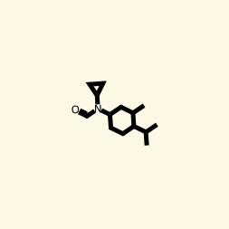 CC(C)C1CCC(N(C=O)C2CC2)CC1C